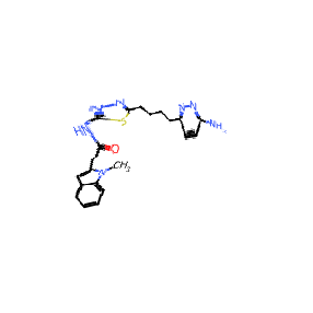 Cn1c(CC(=O)Nc2nnc(CCCCc3ccc(N)nn3)s2)cc2ccccc21